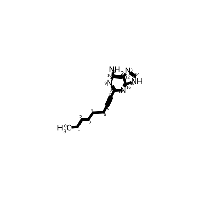 CCCCCCC#Cc1nc(N)c2nc[nH]c2n1